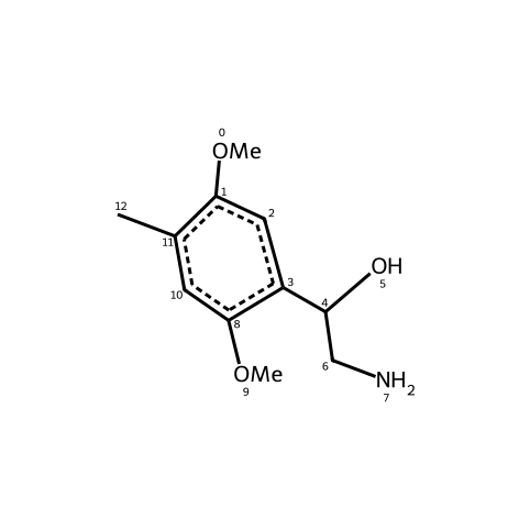 COc1cc(C(O)CN)c(OC)cc1C